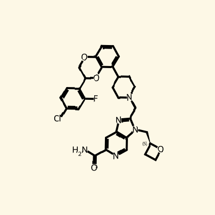 NC(=O)c1cc2nc(CN3CCC(c4cccc5c4OC(c4ccc(Cl)cc4F)CO5)CC3)n(C[C@@H]3CCO3)c2cn1